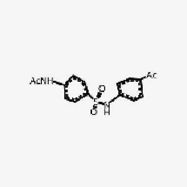 CC(=O)Nc1ccc(S(=O)(=O)Nc2ccc(C(C)=O)cc2)cc1